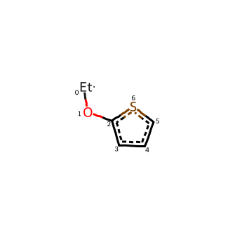 C[CH]Oc1cccs1